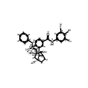 O=C(Nc1cc(F)c(F)c(F)c1)c1ccc(Cl)c(S(=O)(=O)[C@H]2C3CC[C@H]2C[C@](O)(/C=[N+](\O)Cc2ccccc2)C3)c1